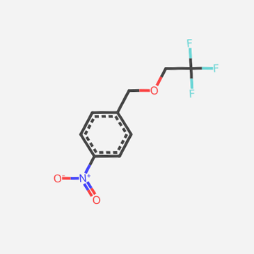 O=[N+]([O-])c1ccc(COCC(F)(F)F)cc1